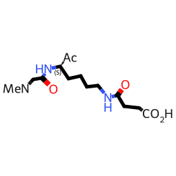 CNCC(=O)N[C@@H](CCCCNC(=O)CCC(=O)O)C(C)=O